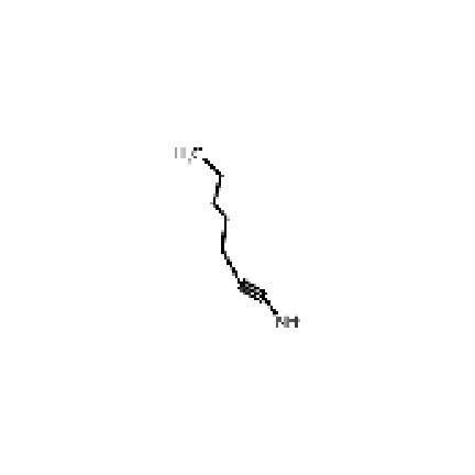 CCCCCC#C[NH]